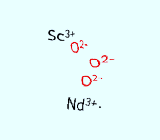 [Nd+3].[O-2].[O-2].[O-2].[Sc+3]